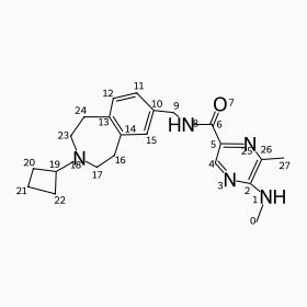 CNc1ncc(C(=O)NCc2ccc3c(c2)CCN(C2CCC2)CC3)nc1C